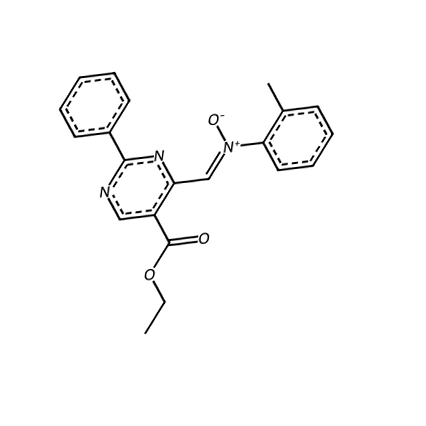 CCOC(=O)c1cnc(-c2ccccc2)nc1C=[N+]([O-])c1ccccc1C